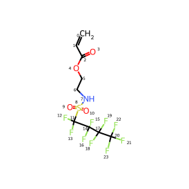 C=CC(=O)OCCNS(=O)(=O)C(F)(F)C(F)(F)C(F)(F)C(F)(F)F